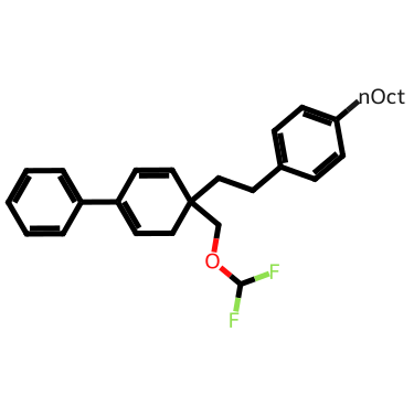 CCCCCCCCc1ccc(CCC2(COC(F)F)C=CC(c3ccccc3)=CC2)cc1